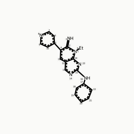 CCn1c(=N)c(-c2ccncc2)cc2cnc(Nc3ccccc3)nc21